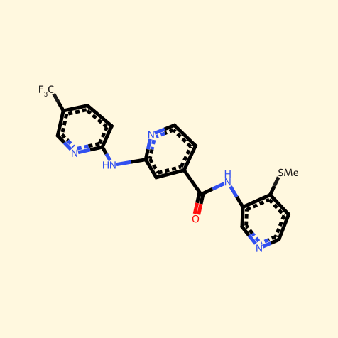 CSc1ccncc1NC(=O)c1ccnc(Nc2ccc(C(F)(F)F)cn2)c1